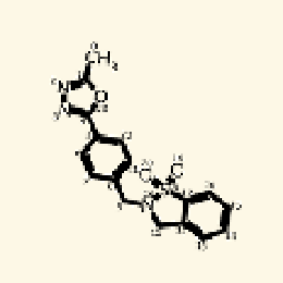 Cc1nnc(-c2ccc(CN3Cc4ccccc4S3(=O)=O)cc2)o1